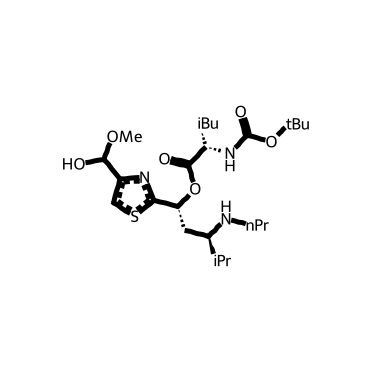 CCCN[C@H](C[C@@H](OC(=O)[C@@H](NC(=O)OC(C)(C)C)[C@@H](C)CC)c1nc(C(O)OC)cs1)C(C)C